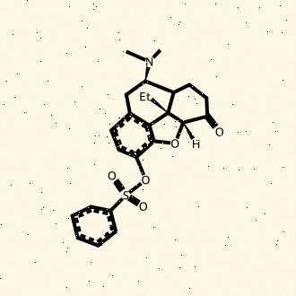 CC[C@]12c3c4ccc(OS(=O)(=O)c5ccccc5)c3O[C@H]1C(=O)CCC2[C@H](N(C)C)C4